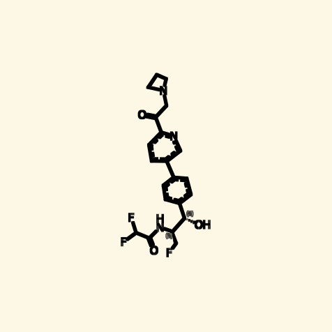 O=C(CN1CCC1)c1ccc(-c2ccc([C@H](O)[C@@H](CF)NC(=O)C(F)F)cc2)cn1